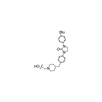 CC(C)(C)c1ccc(N2CCN(c3ccc(CC4CCN(CC(=O)O)CC4)cc3)C2=O)cc1